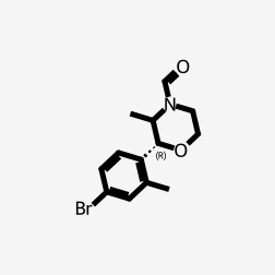 Cc1cc(Br)ccc1[C@H]1OCCN(C=O)C1C